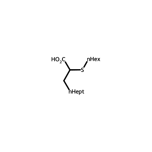 CCCCCCCCC(SCCCCCC)C(=O)O